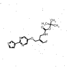 CC(C)(C)OC(=O)NC/C(=C\F)COc1cnc(-c2ccsc2)nc1